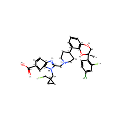 [2H][C@]1(c2ccc(Cl)cc2F)COc2cccc(C3CCN(Cc4nc5ccc(C(=O)O)cc5n4CC4(CF)CC4)CC3)c2O1